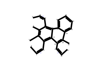 C/C=C\c1c(C)c(C)c(/C=C\C)c2c1c(/C=C\C)c(C)c1ccccc12